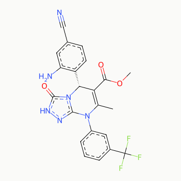 COC(=O)C1=C(C)N(c2cccc(C(F)(F)F)c2)c2n[nH]c(=O)n2[C@@H]1c1ccc(C#N)cc1N